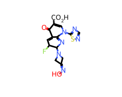 O=C(O)c1cn(-c2ncns2)c2c(c1=O)=CC(F)C(N1CC(=NO)C1)N=2